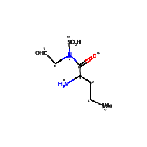 CSCCC(N)C(=O)N(C[C]=O)S(=O)(=O)O